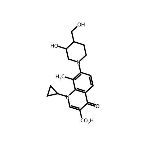 Cc1c(N2CCC(CO)C(O)C2)ccc2c(=O)c(C(=O)O)cn(C3CC3)c12